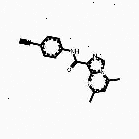 C#Cc1ccc(NC(=O)c2ncn3c(C)cc(C)nc23)cc1